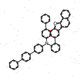 c1ccc(-c2ccc(-c3ccc(N(c4ccc(-c5ccccc5)cc4)c4ccccc4-c4ccc5oc6c7ccccc7ccc6c5c4)cc3)cc2)cc1